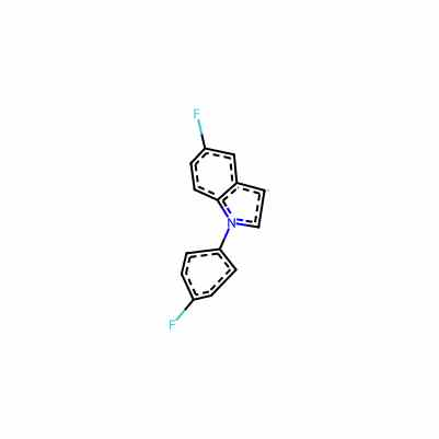 Fc1ccc(-n2c[c]c3cc(F)ccc32)cc1